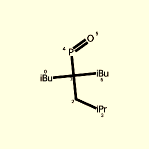 CCC(C)C(CC(C)C)(P=O)C(C)CC